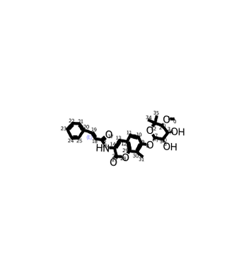 CO[C@@H]1[C@@H](O)[C@@H](O)[C@H](Oc2ccc3cc(NC(=O)/C=C/c4ccccc4)c(=O)oc3c2C)OC1(C)C